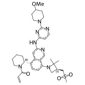 C=CC(=O)N1CCCC[C@@H]1c1ccc(N2C[C@H](CS(C)(=O)=O)C2(C)C)c2cnc(Nc3ccnc(N4CCC(OC)CC4)n3)cc12